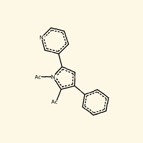 CC(=O)c1c(-c2ccccc2)cc(-c2cccnc2)n1C(C)=O